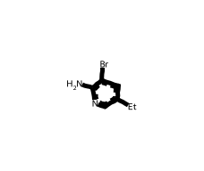 CCc1cnc(N)c(Br)c1